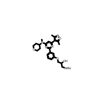 CNCC(O)COc1cccc(-c2nc(-c3c(C)noc3C)cc(N(C)C3CCOCC3)n2)c1